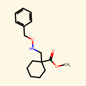 COC(=O)C1(CNOCc2ccccc2)CCCCC1